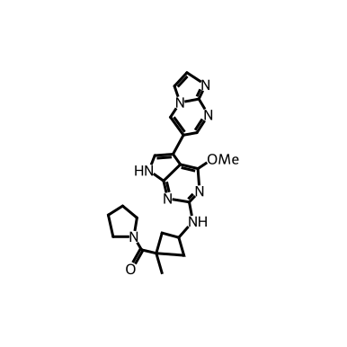 COc1nc(NC2CC(C)(C(=O)N3CCCC3)C2)nc2[nH]cc(-c3cnc4nccn4c3)c12